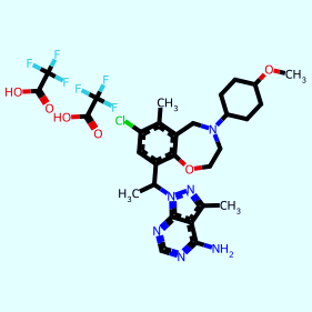 COC1CCC(N2CCOc3c(C(C)n4nc(C)c5c(N)ncnc54)cc(Cl)c(C)c3C2)CC1.O=C(O)C(F)(F)F.O=C(O)C(F)(F)F